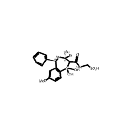 CCCC[C@@]1(CC)N[C@H](c2ccccc2)c2cc(OC)ccc2S(O)(O)C1C(=O)NCS(=O)(=O)O